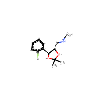 CC1(C)O[C@@H](CNS(=O)(=O)O)[C@H](c2ccccc2F)O1